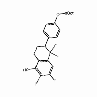 CCCCCCCCOc1ccc(C2CCc3c(cc(F)c(F)c3O)C2(F)F)cc1